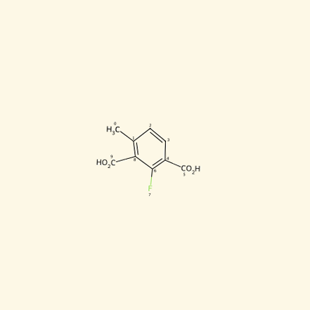 Cc1ccc(C(=O)O)c(F)c1C(=O)O